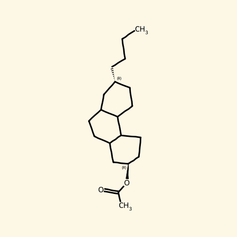 CCCC[C@@H]1CCC2C(CCC3C[C@H](OC(C)=O)CCC32)C1